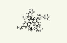 C=C(C)O.Cc1ccc(-c2nc(-c3ccc(C)cc3C)nc(-c3ccccc3C(C)C3CCC(C(C)C)O3)n2)c(C)c1